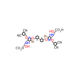 Cc1c(COc2nc(OCc3cc(C#N)cc(C#N)c3)c(CNC[C@@H](O)CC(=O)O)cc2Br)cccc1-c1cccc(COc2nc(OCc3cc(C#N)cc(C#N)c3)c(CNC[C@@H](O)CC(=O)O)cc2Br)c1C